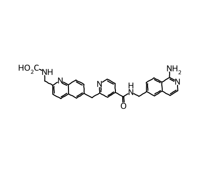 Nc1nccc2cc(CNC(=O)c3ccnc(Cc4ccc5nc(CNC(=O)O)ccc5c4)c3)ccc12